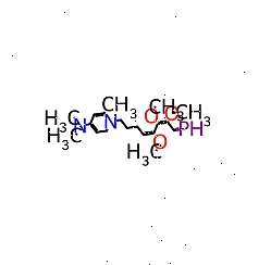 CO/C(C=P)=C(OC)/C(=C\CCCN1CC=C(N(C)C)C=C1C)OC